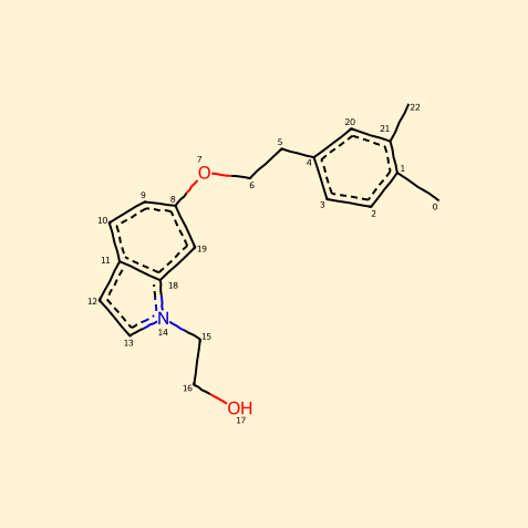 Cc1ccc(CCOc2ccc3ccn(CCO)c3c2)cc1C